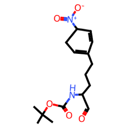 CC(C)(C)OC(=O)NC(C=O)CCCC1=CCC([N+](=O)[O-])C=C1